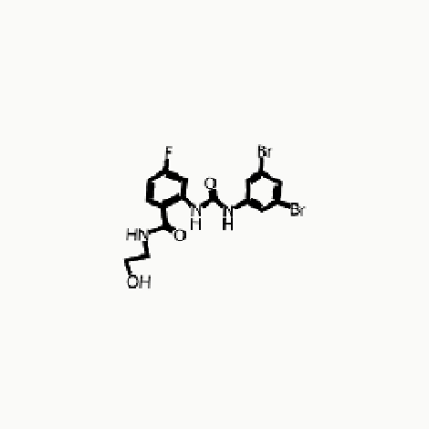 O=C(Nc1cc(Br)cc(Br)c1)Nc1cc(F)ccc1C(=O)NCCO